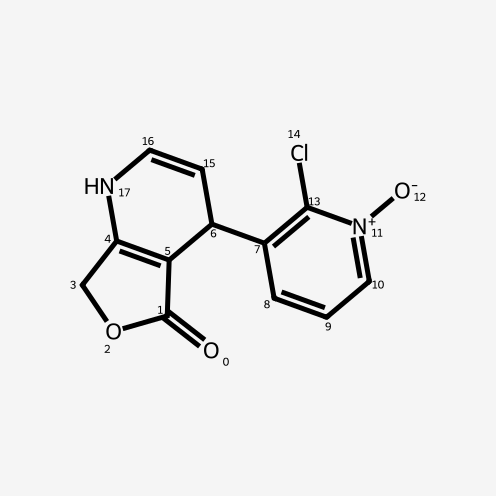 O=C1OCC2=C1C(c1ccc[n+]([O-])c1Cl)C=CN2